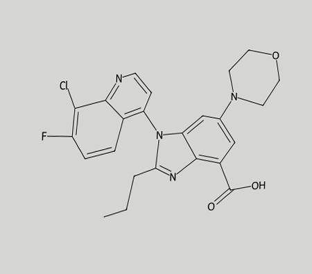 CCCc1nc2c(C(=O)O)cc(N3CCOCC3)cc2n1-c1ccnc2c(Cl)c(F)ccc12